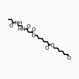 CCC(=O)NCCNC(=O)CC(=O)OCCCCCC(=O)OCCCCCC=O